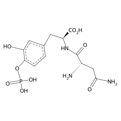 NC(=O)C[C@H](N)C(=O)N[C@@H](Cc1ccc(OP(=O)(O)O)c(O)c1)C(=O)O